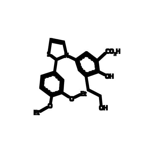 CCOc1ccc(C2SC=CN2c2cc(CCO)c(O)c(C(=O)O)c2)cc1OCC